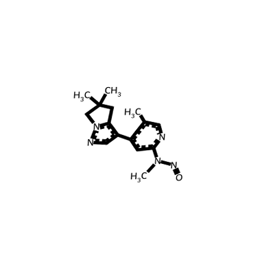 Cc1cnc(N(C)N=O)cc1-c1cnn2c1CC(C)(C)C2